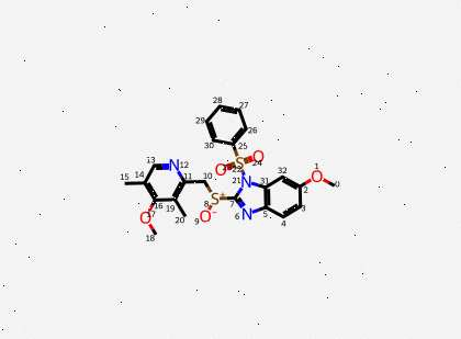 COc1ccc2nc([S+]([O-])Cc3ncc(C)c(OC)c3C)n(S(=O)(=O)c3ccccc3)c2c1